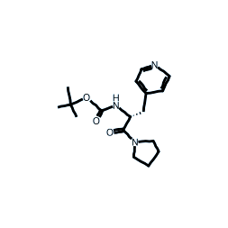 CC(C)(C)OC(=O)N[C@H](Cc1ccncc1)C(=O)N1CCCC1